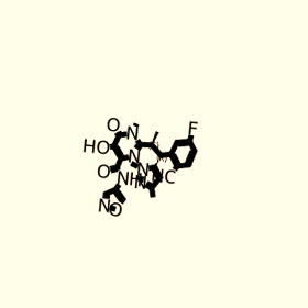 Cc1cc([C@@H](c2cc(F)ccc2C#N)[C@H](C)c2nc(C(=O)Nc3cnoc3)c(O)c(=O)n2C)n(C)n1